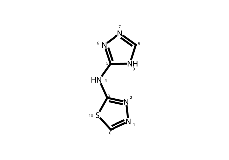 [c]1nnc(Nc2nnc[nH]2)s1